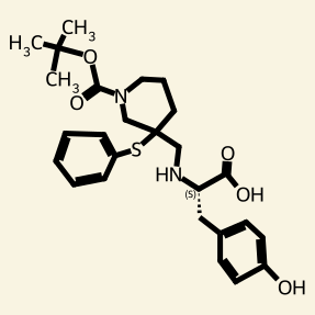 CC(C)(C)OC(=O)N1CCCC(CN[C@@H](Cc2ccc(O)cc2)C(=O)O)(Sc2ccccc2)C1